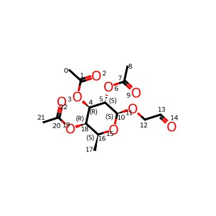 CC(=O)O[C@H]1[C@H](OC(C)=O)[C@@H](OCC=O)O[C@@H](C)[C@H]1OC(C)=O